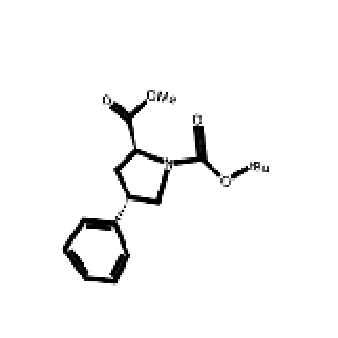 COC(=O)[C@@H]1C[C@@H](c2ccccc2)CN1C(=O)OC(C)(C)C